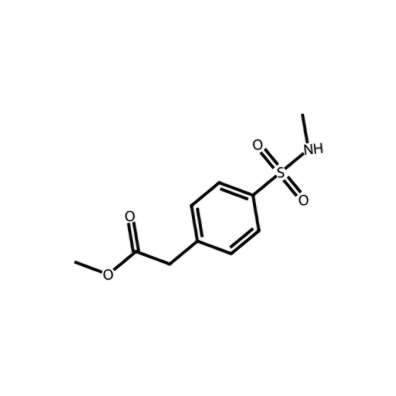 CNS(=O)(=O)c1ccc(CC(=O)OC)cc1